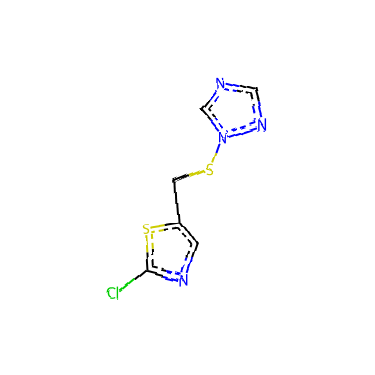 Clc1ncc(CSn2cncn2)s1